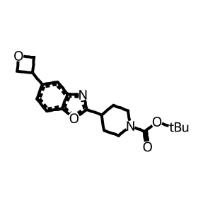 CC(C)(C)OC(=O)N1CCC(c2nc3cc(C4COC4)ccc3o2)CC1